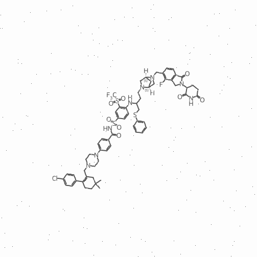 CC1(C)CCC(c2ccc(Cl)cc2)=C(CN2CCN(c3ccc(C(=O)NS(=O)(=O)c4ccc(NC(CCN5C[C@@H]6C[C@H]5CN6Cc5ccc6c(c5F)CN(C5CCC(=O)NC5=O)C6=O)CSc5ccccc5)c(S(=O)(=O)C(F)(F)F)c4)cc3)CC2)C1